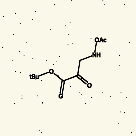 CC(=O)ONCC(=O)C(=O)OC(C)(C)C